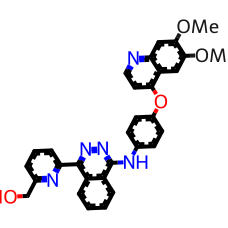 COc1cc2nccc(Oc3ccc(Nc4nnc(-c5cccc(CO)n5)c5ccccc45)cc3)c2cc1OC